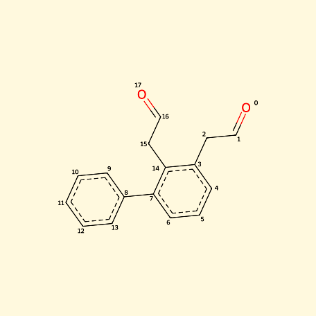 O=CCc1cccc(-c2ccccc2)c1CC=O